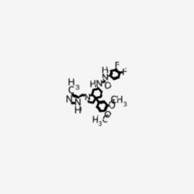 COc1ccc(C23CCC(NC(=O)Nc4ccc(F)c(F)c4)CC2N(Cc2[nH]cnc2C)CC3)cc1OC